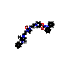 O=C(Nc1ccccc1-c1ccccc1)OC1CCN(CCCN2CCN(CCCN3C[C@H]4C[C@@H]3CN4Cc3ccccc3)C2=O)CC1